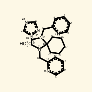 O=C(O)CN(Cc1ccccn1)C1(N(Cc2ccccn2)Cn2cncn2)CCCCC1